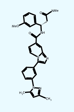 CNC(=O)C[C@H](NC(=O)c1ccn2c(-c3cccc(-n4nc(C)cc4C)c3)cnc2c1)c1cccc(OC)c1